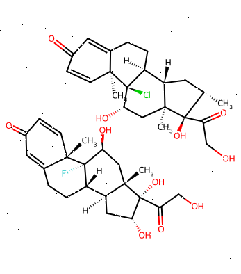 C[C@H]1C[C@H]2[C@@H]3CCC4=CC(=O)C=C[C@]4(C)[C@@]3(Cl)[C@@H](O)C[C@]2(C)[C@@]1(O)C(=O)CO.C[C@]12C=CC(=O)C=C1CC[C@H]1[C@@H]3C[C@@H](O)[C@](O)(C(=O)CO)[C@@]3(C)C[C@H](O)[C@@]12F